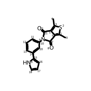 Cc1sc(C)c2c1C(=O)N(c1cccc(-c3ccc[nH]3)c1)C2=O